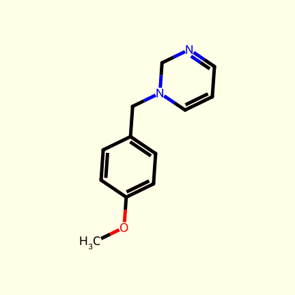 COc1ccc(CN2C=CC=NC2)cc1